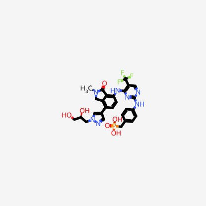 CN1Cc2c(-c3cnn(C[C@H](O)CO)c3)ccc(Nc3nc(Nc4ccc(CP(=O)(O)O)cc4)ncc3C(F)(F)F)c2C1=O